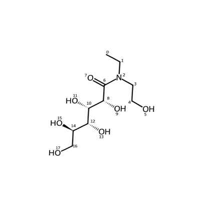 CCN(CCO)C(=O)[C@H](O)[C@@H](O)[C@H](O)[C@H](O)CO